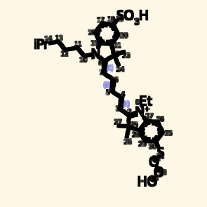 CC[N+]1=C(/C=C/C=C/C=C2/N(CCCCC(C)C)c3ccc(S(=O)(=O)O)cc3C2(C)C)C(C)(C)c2cc(SOOO)ccc21